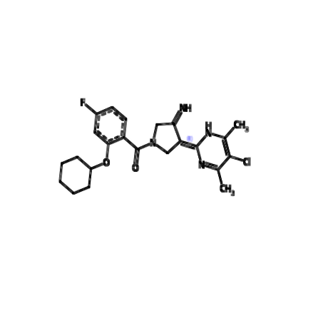 CC1=N/C(=C2\CN(C(=O)c3ccc(F)cc3OC3CCCCC3)CC2=N)NC(C)=C1Cl